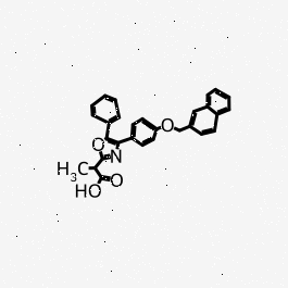 CC(C(=O)O)c1nc(-c2ccc(OCc3ccc4ccccc4c3)cc2)c(-c2ccccc2)o1